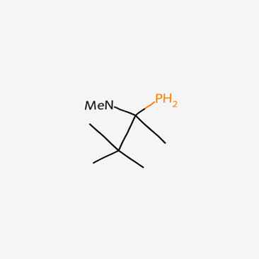 CNC(C)(P)C(C)(C)C